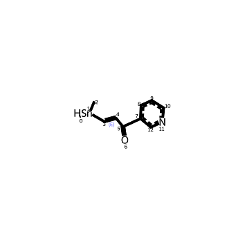 [CH3][SnH]([CH3])/[CH]=C/C(=O)c1cccnc1